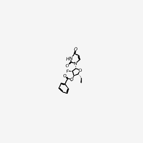 CC[C@H]1O[C@@H](n2ccc(=O)[nH]c2=O)[C@H](F)[C@@H]1OC(=O)c1ccccc1